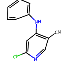 N#Cc1cnc(Cl)cc1Nc1ccccc1